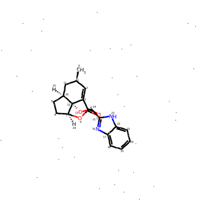 C[C@H]1C=C2C(=O)O[C@H]3CC[C@@H](C1)[C@@]23OCc1nc2ccccc2[nH]1